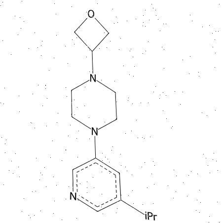 CC(C)c1cncc(N2CCN(C3COC3)CC2)c1